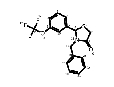 O=C1CSC(c2cccc(OC(F)(F)F)c2)N1Cc1ccccc1